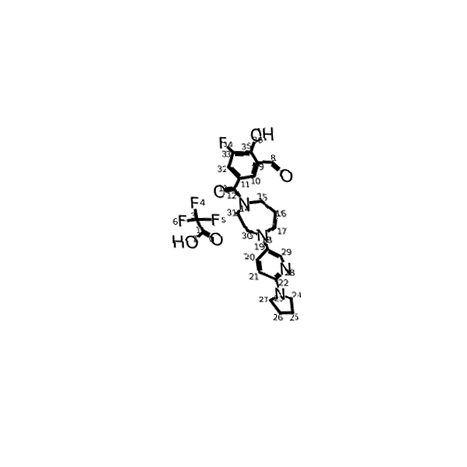 O=C(O)C(F)(F)F.O=Cc1cc(C(=O)N2CCCN(c3ccc(N4CCCC4)nc3)CC2)cc(F)c1O